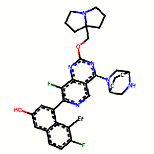 CCc1c(F)ccc2cc(O)cc(-c3ncc4c(N5CC6CCCC5CN6)nc(OCC56CCCN5CCC6)nc4c3F)c12